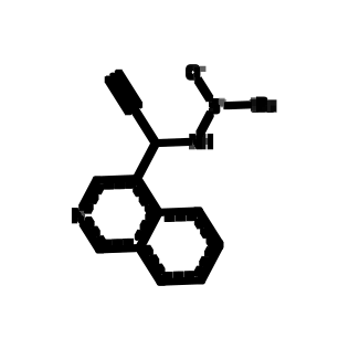 C#CC(N[S+]([O-])C(C)(C)C)c1cncc2ccccc12